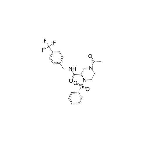 CC(=O)N1CCN(S(=O)(=O)c2ccccc2)C(C(=O)NCc2ccc(C(F)(F)F)cc2)C1